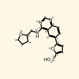 O=C(O)c1ccc(-c2ccc3ncnc(NCC4CCCO4)c3c2)o1